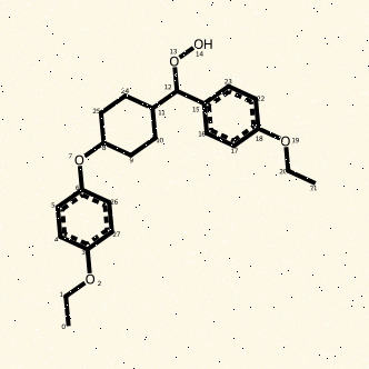 CCOc1ccc(OC2CCC(C(OO)c3ccc(OCC)cc3)CC2)cc1